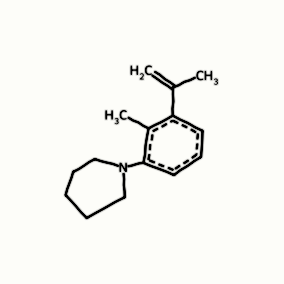 C=C(C)c1cccc(N2CCCCC2)c1C